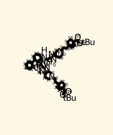 Cn1c(C(=O)NC2(NC(=O)c3nc4c(n3C)CCN(CCC35CCC(C(=O)OC(C)(C)C)(CC3)C5)C4)C=CC=C(c3ccccc3Cl)C2Cl)nc2c1CCN(CCC13CCC(C(=O)OC(C)(C)C)(CC1)C3)C2